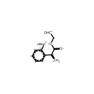 C=C(C(=O)OCC=O)c1ccccc1CCCCCCCCC